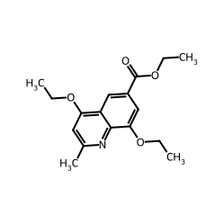 CCOC(=O)c1cc(OCC)c2nc(C)cc(OCC)c2c1